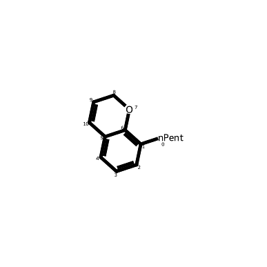 CCCCCc1cccc2c1OCC=C2